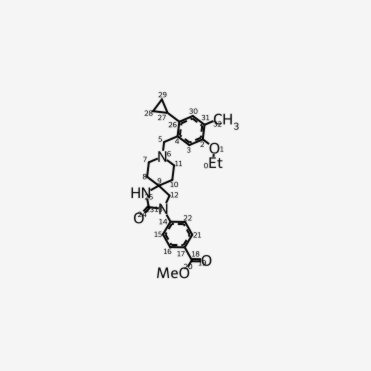 CCOc1cc(CN2CCC3(CC2)CN(c2ccc(C(=O)OC)cc2)C(=O)N3)c(C2CC2)cc1C